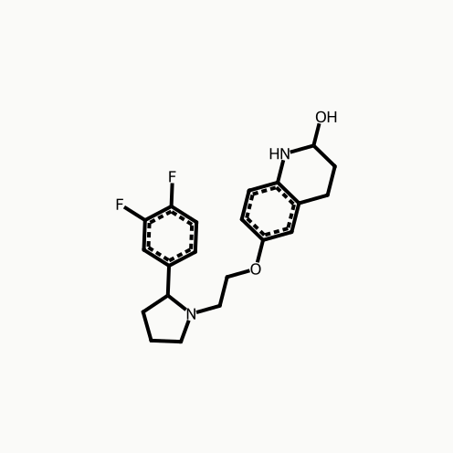 OC1CCc2cc(OCCN3CCCC3c3ccc(F)c(F)c3)ccc2N1